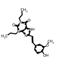 CCCn1c(=O)c2[nH]c(/C=C/c3ccc(O)c(OC)c3)nc2n(CCC)c1=O